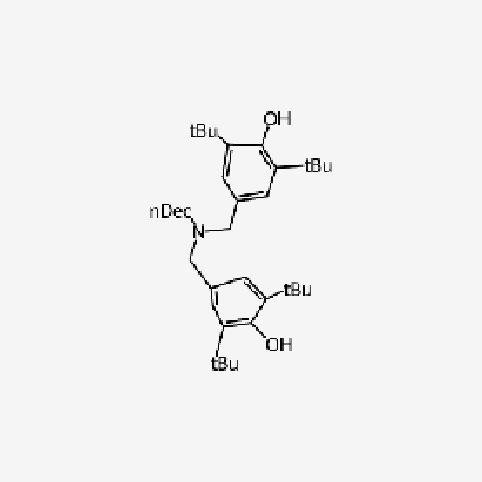 CCCCCCCCCCN(Cc1cc(C(C)(C)C)c(O)c(C(C)(C)C)c1)Cc1cc(C(C)(C)C)c(O)c(C(C)(C)C)c1